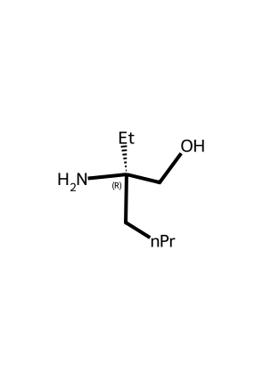 CCCC[C@](N)(CC)CO